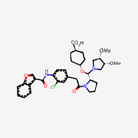 CO[C@H]1CN(C(O[C@H]2CC[C@H](C(=O)O)CC2)[C@@H]2CCCN2C(=O)Cc2ccc(NC(=O)c3coc4ccccc34)c(Cl)c2)C[C@H]1OC